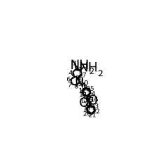 NC1=C(N)CC2CCCN(Cc3ccc(S(=O)(=O)c4ccccc4)cc3)C2=C1